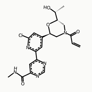 C=CC(=O)N1C[C@@H](c2cc(Cl)nc(-c3cc(C(=O)NC)ncn3)c2)O[C@H]([C@@H](C)O)C1